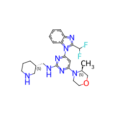 C[C@H]1COCCN1c1cc(-n2c(C(F)F)nc3ccccc32)nc(NC[C@H]2CCCNC2)n1